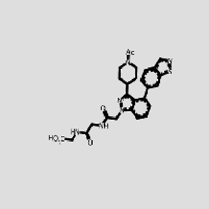 CC(=O)N1CCC(c2nn(CC(=O)NCC(=O)NCC(=O)O)c3cccc(-c4ccc5cnsc5c4)c23)CC1